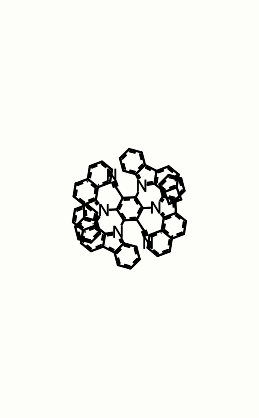 N#Cc1c(-n2c3ccccc3c3ccc4c(c32)C=C4)c(-n2c3ccccc3c3ccc4ccccc4c32)c(C#N)c(-n2c3ccccc3c3ccc4ccccc4c32)c1-n1c2ccccc2c2ccc3ccccc3c21